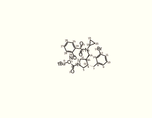 CC(C)(C)OC(=O)N1C[C@@H](Cc2cccc(Br)c2)[C@H](CN(C2CC2)S(=O)(=O)c2ccccc2[N+](=O)[O-])C1